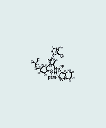 CN1CC[C@@H](n2cc(NC(=O)c3cnn4cccnc34)c(-c3cc(SC(F)F)ccc3OC(F)F)n2)C1=O